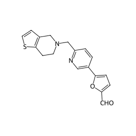 O=Cc1ccc(-c2ccc(CN3CCc4sccc4C3)nc2)o1